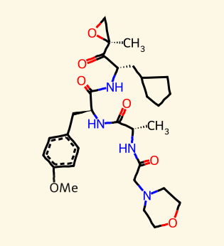 COc1ccc(C[C@H](NC(=O)[C@H](C)NC(=O)CN2CCOCC2)C(=O)N[C@@H](CC2CCCC2)C(=O)[C@]2(C)CO2)cc1